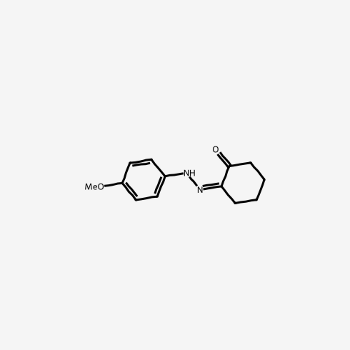 COc1ccc(NN=C2CCCCC2=O)cc1